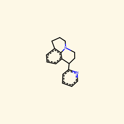 [c]1cc2c3c(c1)C(c1ccccn1)CCN3CCC2